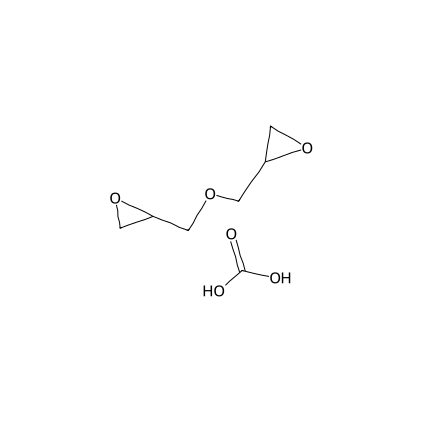 C(OCC1CO1)C1CO1.O=C(O)O